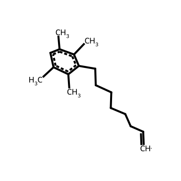 [CH]=CCCCCCCc1c(C)c(C)cc(C)c1C